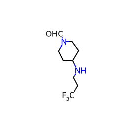 O=CN1CCC(NCCC(F)(F)F)CC1